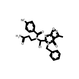 CCC(c1nc2onc(C)c2c(=O)n1Cc1ccccc1)N(CCC(N)=O)C(=O)c1ccc(C#N)cc1